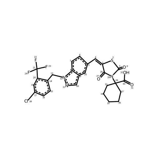 O=C1SC(=Cc2ccc3c(cnn3Cc3ccc(Cl)cc3C(F)(F)F)c2)C(=O)N1C1(C(=O)O)CCCCC1